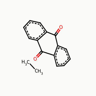 CC.O=C1c2ccccc2C(=O)c2ccccc21